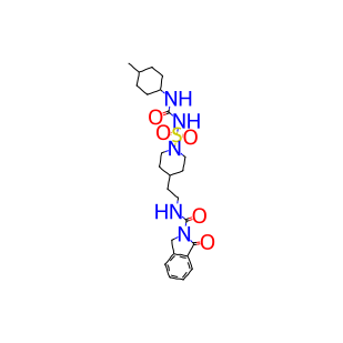 CC1CCC(NC(=O)NS(=O)(=O)N2CCC(CCNC(=O)N3Cc4ccccc4C3=O)CC2)CC1